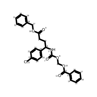 O=C(CCC(NC(=O)OCOC(=O)c1ccccc1)c1ccc(Cl)cc1)OCc1ccccc1